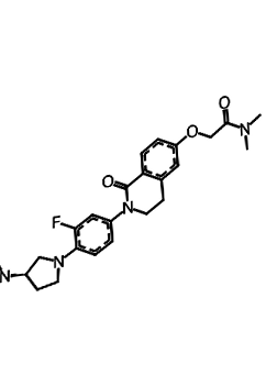 CN[C@@H]1CCN(c2ccc(N3CCc4cc(OCC(=O)N(C)C)ccc4C3=O)cc2F)C1